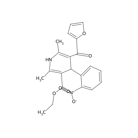 CCOC(=O)C1=C(C)NC(C)=C(C(=O)c2ccco2)C1c1ccccc1[N+](=O)[O-]